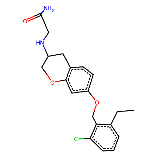 CCc1cccc(Cl)c1COc1ccc2c(c1)OCC(NCC(N)=O)C2